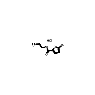 Cl.NCCNC(=O)c1ccc(Br)o1